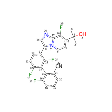 CC(C)(O)c1ccn2c(-c3ccc(F)c(-c4c(F)cccc4C#N)c3F)cnc2c1F